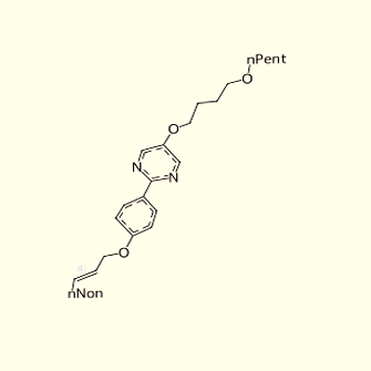 CCCCCCCCC/C=C/COc1ccc(-c2ncc(OCCCCOCCCCC)cn2)cc1